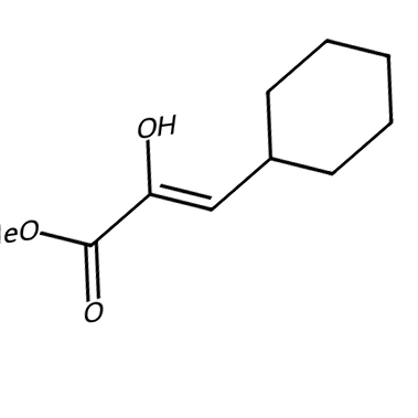 COC(=O)C(O)=CC1CCCCC1